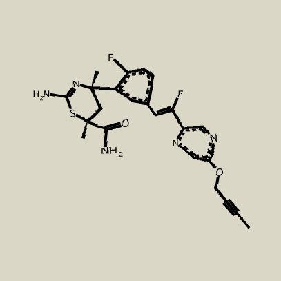 CC#CCOc1cnc(/C(F)=C/c2ccc(F)c([C@]3(C)C[C@](C)(C(N)=O)SC(N)=N3)c2)cn1